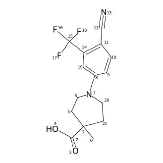 CC1(C(=O)O)CCN(c2ccc(C#N)c(C(F)(F)F)c2)CC1